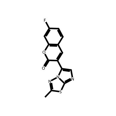 Cc1nn2c(-c3cc4ccc(F)cc4oc3=O)cnc2s1